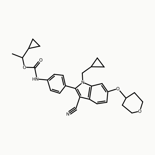 CC(OC(=O)Nc1ccc(-c2c(C#N)c3ccc(OC4CCOCC4)cc3n2CC2CC2)cc1)C1CC1